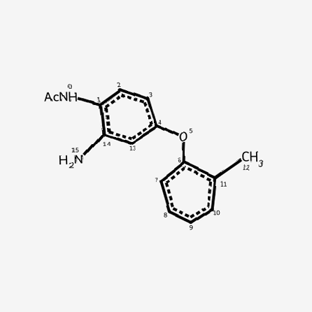 CC(=O)Nc1ccc(Oc2ccccc2C)cc1N